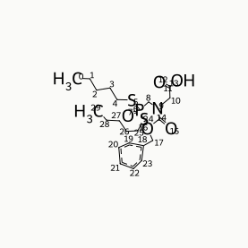 CCCCCSP(=O)(CN(CC(=O)O)C(=O)OCc1ccccc1)SCCCCC